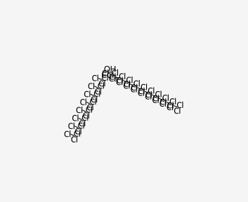 ClC(Cl)Cl.ClC(Cl)Cl.ClC(Cl)Cl.ClC(Cl)Cl.ClC(Cl)Cl.ClC(Cl)Cl.ClC(Cl)Cl.ClC(Cl)Cl.ClC(Cl)Cl.ClC(Cl)Cl.ClC(Cl)Cl.ClC(Cl)Cl.ClC(Cl)Cl.ClC(Cl)Cl.ClC(Cl)Cl.ClC(Cl)Cl.ClC(Cl)Cl.ClC(Cl)Cl.OCC(Cl)(Cl)Cl